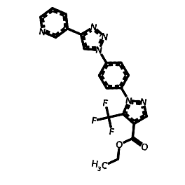 CCOC(=O)c1cnn(-c2ccc(-n3cc(-c4cccnc4)nn3)cc2)c1C(F)(F)F